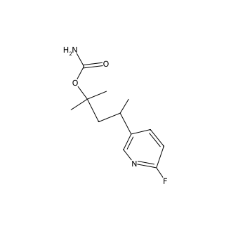 CC(CC(C)(C)OC(N)=O)c1ccc(F)nc1